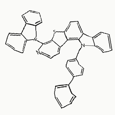 c1ccc(-c2ccc(-n3c4ccccc4c4ccc5sc6c(-n7c8ccccc8c8ccccc87)nccc6c5c43)cc2)cc1